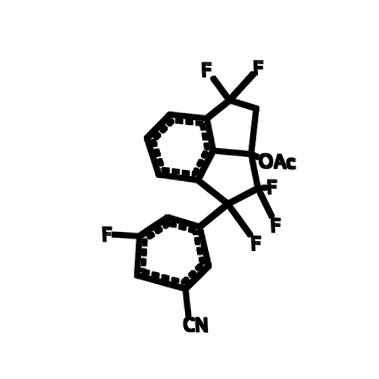 CC(=O)OC12CC(F)(F)c3cccc(c31)C(F)(c1cc(F)cc(C#N)c1)C2(F)F